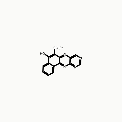 CCOC(=O)c1c(O)c2ccccc2c2nc3ncncc3nc12